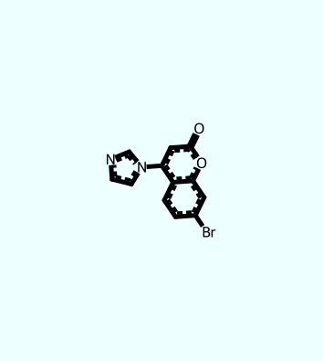 O=c1cc(-n2ccnc2)c2ccc(Br)cc2o1